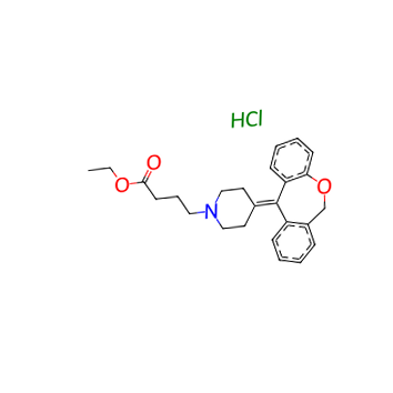 CCOC(=O)CCCN1CCC(=C2c3ccccc3COc3ccccc32)CC1.Cl